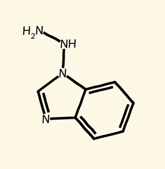 NNn1cnc2ccccc21